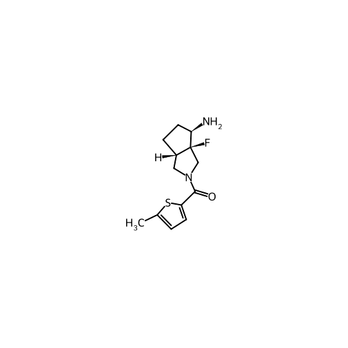 Cc1ccc(C(=O)N2C[C@@H]3CC[C@@H](N)[C@]3(F)C2)s1